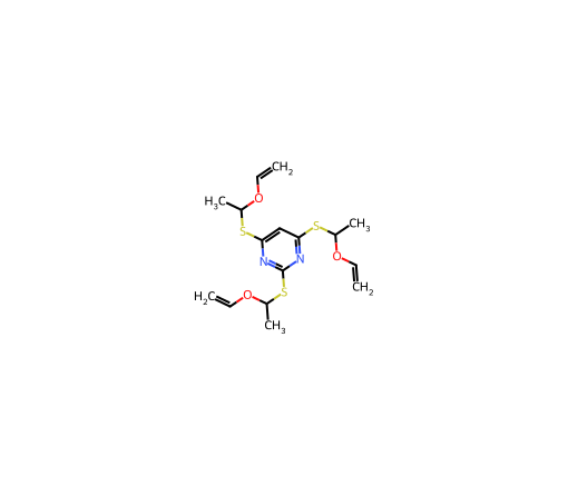 C=COC(C)Sc1cc(SC(C)OC=C)nc(SC(C)OC=C)n1